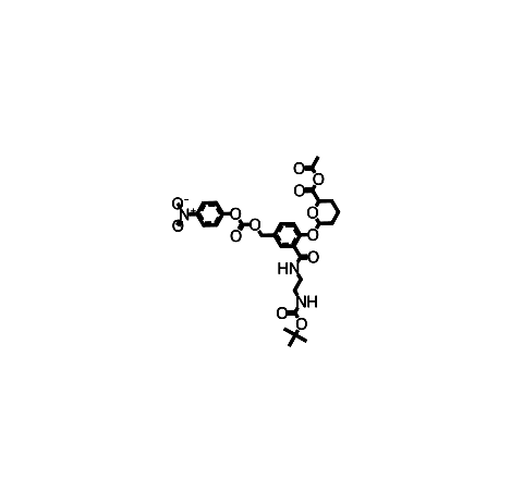 CC(=O)OC(=O)C1CCCC(Oc2ccc(COC(=O)Oc3ccc([N+](=O)[O-])cc3)cc2C(=O)NCCNC(=O)OC(C)(C)C)O1